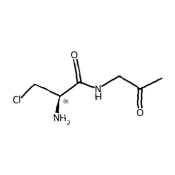 CC(=O)CNC(=O)[C@@H](N)CCl